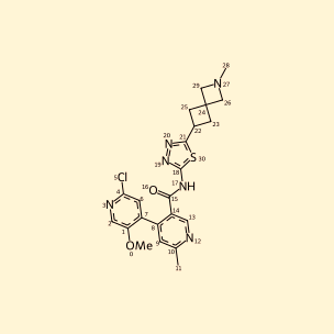 COc1cnc(Cl)cc1-c1cc(C)ncc1C(=O)Nc1nnc(C2CC3(C2)CN(C)C3)s1